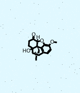 COc1ccc2c3c1O[C@H]1C(=O)CCC4(O)C(C2)N(C)CC[C@]314